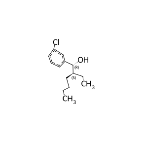 CCCC[C@H](CC)[C@@H](O)c1cccc(Cl)c1